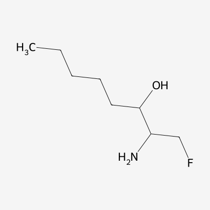 CCCCCC(O)C(N)CF